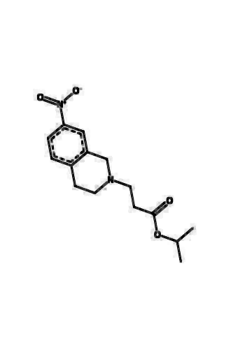 CC(C)OC(=O)CCN1CCc2ccc([N+](=O)[O-])cc2C1